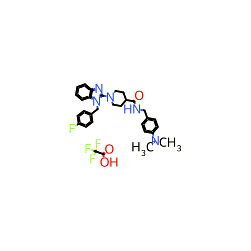 CN(C)c1ccc(CNC(=O)C2CCN(c3nc4ccccc4n3Cc3ccc(F)cc3)CC2)cc1.O=C(O)C(F)(F)F